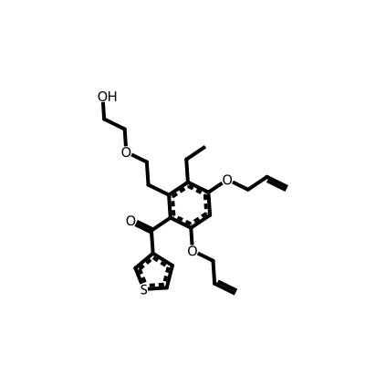 C=CCOc1cc(OCC=C)c(C(=O)c2ccsc2)c(CCOCCO)c1CC